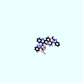 CCc1nc2ccccc2n1C1CCN(Cc2c(-c3ccccc3)nc3ccccc3c2C(=O)NN(C(=O)OC)c2ccccc2)CC1